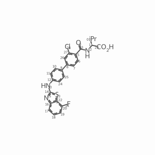 CC(C)[C@H](NC(=O)c1ccc(-c2ccc(Nc3nc4cccc(F)c4s3)cc2)cc1Cl)C(=O)O